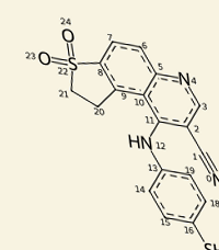 N#Cc1cnc2ccc3c(c2c1Nc1ccc(S)cc1)CCS3(=O)=O